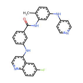 Cc1ccc(Nc2ccncc2)cc1NC(=O)c1cccc(Nc2ccnc3ccc(F)cc23)c1